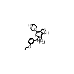 CCOc1cccc(Cc2nc(N3CCNCC3)c3cn[nH]c3n2)c1.Cl.Cl